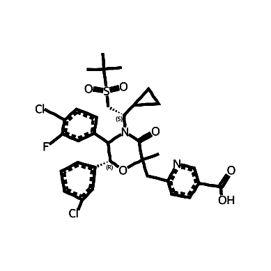 CC1(Cc2ccc(C(=O)O)cn2)O[C@H](c2cccc(Cl)c2)C(c2ccc(Cl)c(F)c2)N([C@H](CS(=O)(=O)C(C)(C)C)C2CC2)C1=O